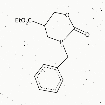 CCOC(=O)C1COC(=O)P(Cc2ccccc2)C1